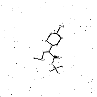 COCN(C(=O)OC(C)(C)C)C1CCC(O)CC1